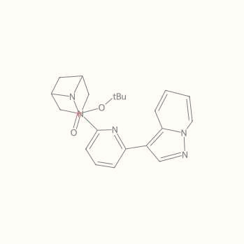 CC(C)(C)OC(=O)N1C2CC1CN(c1cccc(-c3cnn4ccccc34)n1)C2